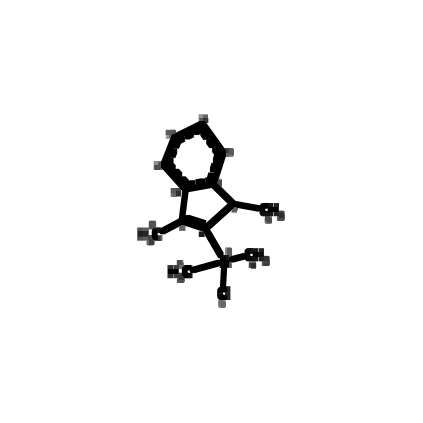 CC1=C([Si](C)(C)Cl)C(C)c2ccccc21